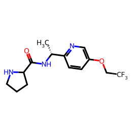 C[C@@H](NC(=O)C1CCCN1)c1ccc(OCC(F)(F)F)cn1